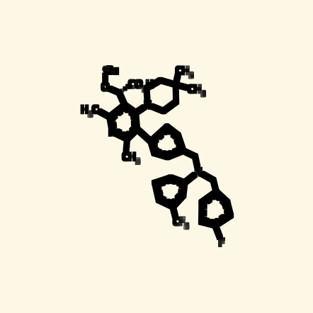 Cc1nc(C)c([C@H](OC(C)(C)C)C(=O)O)c(N2CCC(C)(C)CC2)c1-c1ccc(CN(Cc2ccc(F)cc2)c2cccc(C(F)(F)F)c2)cc1